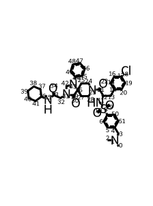 CN(C)Cc1ccc(S(=O)(=O)NC(Cc2ccc(Cl)cc2)C(=O)N2CCC3(CC2)C(=O)N(CC(=O)NC2CCCCC2)CN3c2ccccc2)cc1